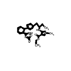 CCOC(=O)c1cn(C)nc1NC(CC)Cc1ccc(-c2ccccc2-c2nc(=O)o[nH]2)cc1